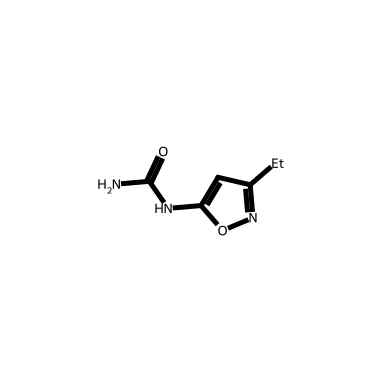 CCc1cc(NC(N)=O)on1